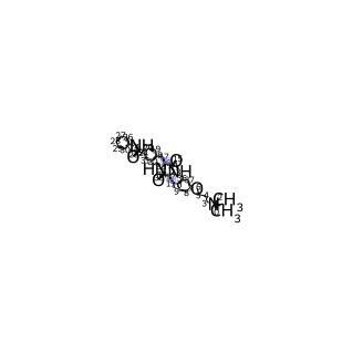 CN(C)CCCOc1ccc(/C=c2\[nH]c(=O)/c(=C/c3ccc(C(=O)Nc4ccccc4)cc3)[nH]c2=O)cc1